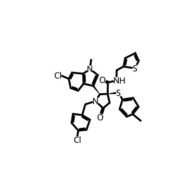 Cc1ccc(S[C@@]2(C(=O)NCc3cccs3)CC(=O)N(Cc3ccc(Cl)cc3)[C@H]2c2cn(C)c3cc(Cl)ccc23)cc1